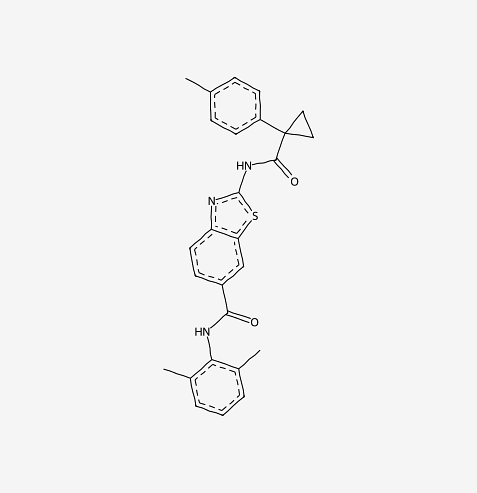 Cc1ccc(C2(C(=O)Nc3nc4ccc(C(=O)Nc5c(C)cccc5C)cc4s3)CC2)cc1